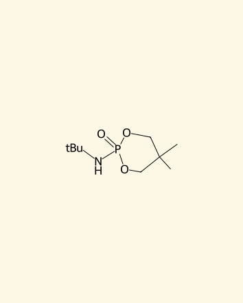 CC1(C)COP(=O)(NC(C)(C)C)OC1